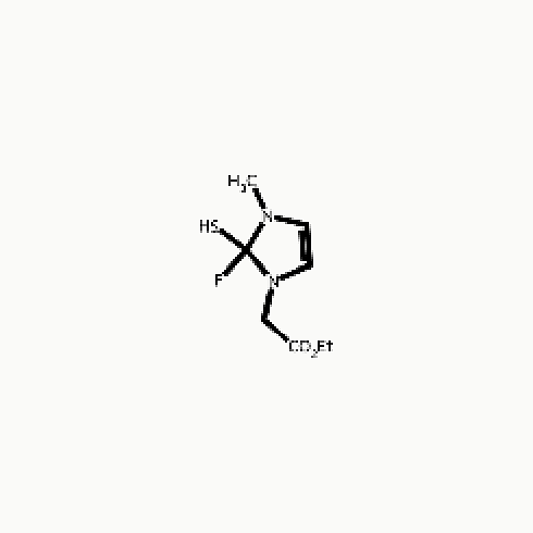 CCOC(=O)CN1C=CN(C)C1(F)S